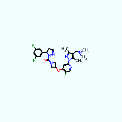 Cc1nn(-c2cc(OC3CN(C(=O)N4N=CCC4c4cc(F)cc(F)c4)C3)c(F)cn2)c(C)c1CN(C)C